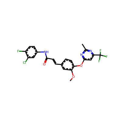 COc1cc(C=CC(=O)Nc2ccc(F)c(Cl)c2)ccc1Oc1cc(C(F)(F)F)nc(C)n1